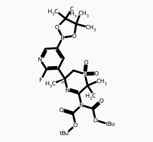 CC(C)(C)OC(=O)N(C(=O)OC(C)(C)C)C1=N[C@](C)(c2cc(B3OC(C)(C)C(C)(C)O3)cnc2F)CS(=O)(=O)C1(C)C